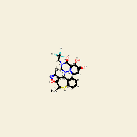 Cc1noc2c1[C@H](N1CN(CC(F)(F)F)C(=O)c3c(O)c(=O)ccn31)c1ccccc1SC2C